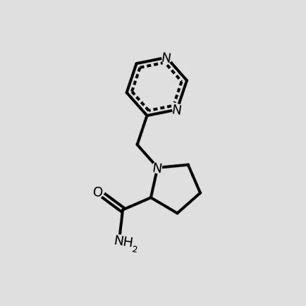 NC(=O)C1CCCN1Cc1ccncn1